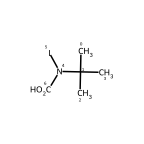 CC(C)(C)N(I)C(=O)O